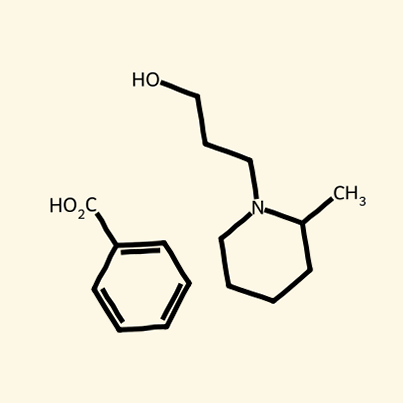 CC1CCCCN1CCCO.O=C(O)c1ccccc1